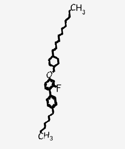 CCCCCCCCCCCCC1CCC(COc2ccc(-c3ccc(CCCCCCC)cc3)c(F)c2)CC1